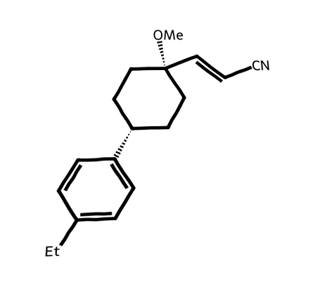 CCc1ccc([C@H]2CC[C@@](C=CC#N)(OC)CC2)cc1